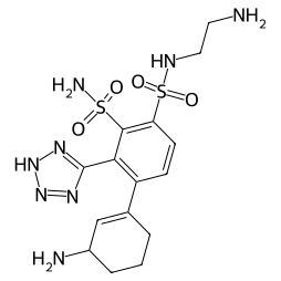 NCCNS(=O)(=O)c1ccc(C2=CC(N)CCC2)c(-c2nn[nH]n2)c1S(N)(=O)=O